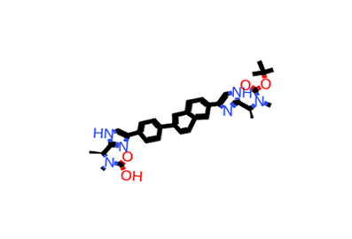 C[C@@H](c1nc(-c2ccc(-c3ccc4cc(-c5c[nH]c([C@H](C)N(C)C(=O)OC(C)(C)C)n5)ccc4c3)cc2)c[nH]1)N(C)C(=O)O